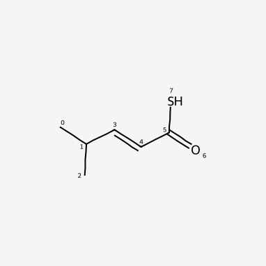 CC(C)C=CC(=O)S